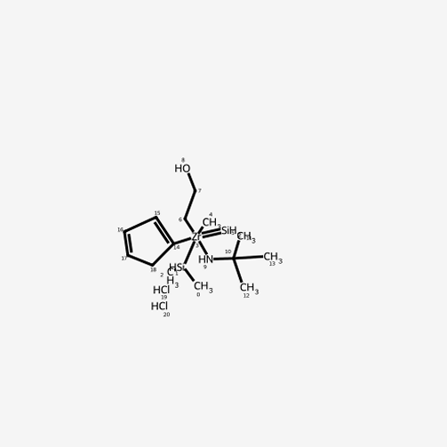 C[SiH](C)[Zr]([CH3])(=[SiH2])([CH2]CO)([NH]C(C)(C)C)[C]1=CC=CC1.Cl.Cl